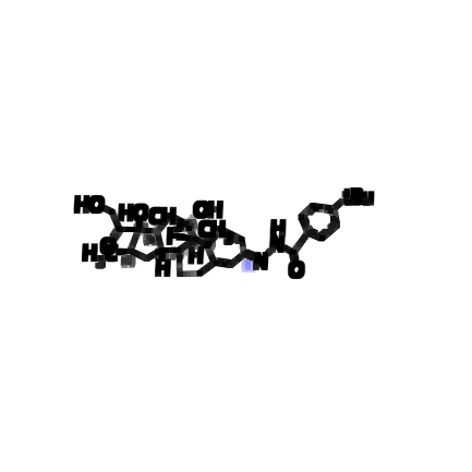 C[C@@H]1C[C@H]2[C@@H]3CCC4=C/C(=N/NC(=O)c5ccc(C(C)(C)C)cc5)C=C[C@]4(C)[C@@]3(F)[C@@H](O)C[C@]2(C)[C@@]1(O)C(=O)CO